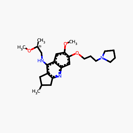 COc1cc2c(NC[C@H](C)OC)c3c(nc2cc1OCCCN1CCCC1)CC(C)C3